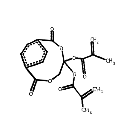 C=C(C)C(=O)OC1(OC(=O)C(=C)C)COC(=O)c2ccc(cc2)C(=O)O1